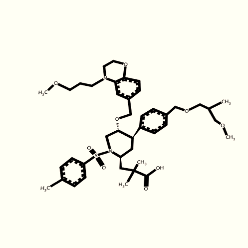 COCCCN1CCOc2ccc(CO[C@H]3CN(S(=O)(=O)c4ccc(C)cc4)[C@H](CC(C)(C)C(=O)O)C[C@@H]3c3ccc(COCC(C)COC)cc3)cc21